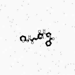 O=C(/C=C/c1cnc(N[C@@H]2CCN(C(=O)C3CCCCC3)C2)c(Cl)c1)NOC1CCCCO1